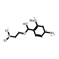 CCN(CC)CCOC(O)C1=C(OC)CC(N)C=C1